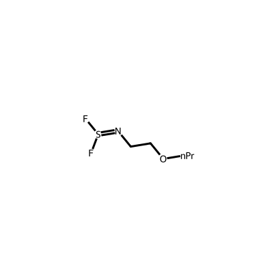 CCCOCCN=S(F)F